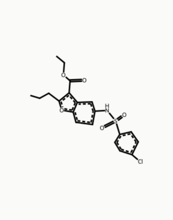 CCCc1oc2ccc(NS(=O)(=O)c3ccc(Cl)cc3)cc2c1C(=O)OCC